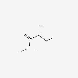 CC[C@@H](N)C(=O)OCl.Cl